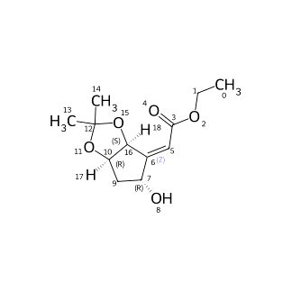 CCOC(=O)/C=C1/[C@H](O)C[C@H]2OC(C)(C)O[C@@H]12